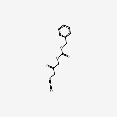 O=C=NCC(=O)COC(=O)OCc1ccccc1